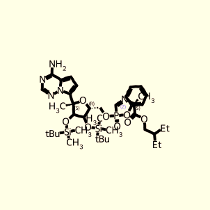 CCC(CC)COC(=O)[C@H](C)/N=C\P(=O)(OC[C@H]1O[C@@](C)(c2ccc3c(N)ncnn23)C(O[Si](C)(C)C(C)(C)C)C1O[Si](C)(C)C(C)(C)C)Oc1ccccc1